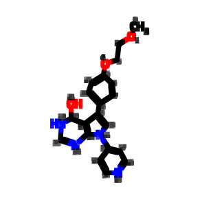 COCCOc1ccc(-c2cn(-c3ccncc3)c3c2C(O)NC=N3)cc1